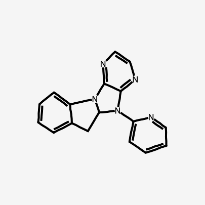 c1ccc(N2c3nccnc3N3c4ccccc4CC23)nc1